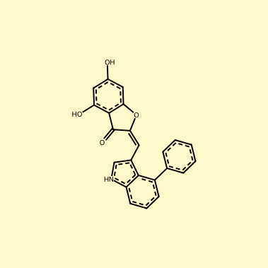 O=C1/C(=C\c2c[nH]c3cccc(-c4ccccc4)c23)Oc2cc(O)cc(O)c21